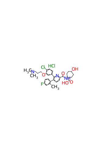 Cc1cc(F)ccc1-c1ccc(C(=O)NC2(C(=O)O)CCC(O)CC2)nc1-c1ccc(Cl)c(OCCCN(C)C)c1.Cl